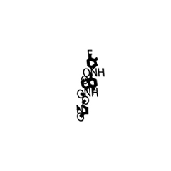 Cc1cc(NC(=O)c2ccc(F)c3c2OCC[C@@H]3NC(=O)OC[C@H]2CCC(=O)N2C)ccc1F